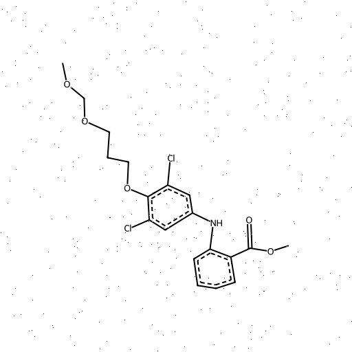 COCOCCCOc1c(Cl)cc(Nc2ccccc2C(=O)OC)cc1Cl